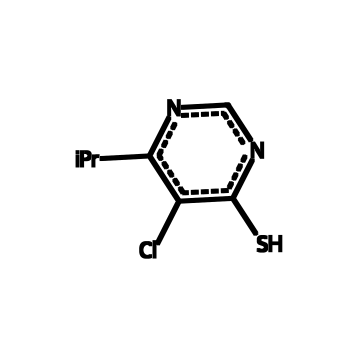 CC(C)c1ncnc(S)c1Cl